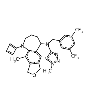 Cc1c2c(cc3c1N(C1=CC=C1)CCCC3N(Cc1cc(C(F)(F)F)cc(C(F)(F)F)c1)c1nnn(C)n1)COC2